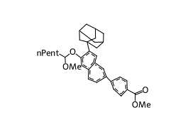 CCCCCC(OC)Oc1cc2ccc(-c3ccc(C(=O)OC)cc3)cc2cc1C12CC3CC(CC(C3)C1)C2